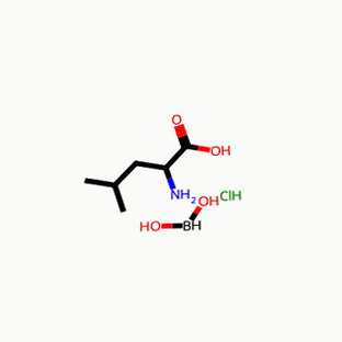 CC(C)CC(N)C(=O)O.Cl.OBO